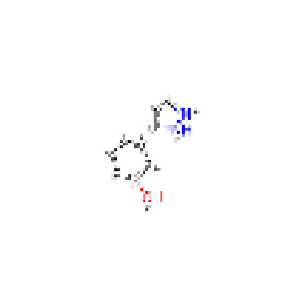 Oc1cccc(-c2c[c]n[nH]2)c1